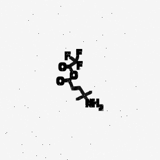 CC(C)(N)C=CC(=O)OC(=O)C(F)(F)F